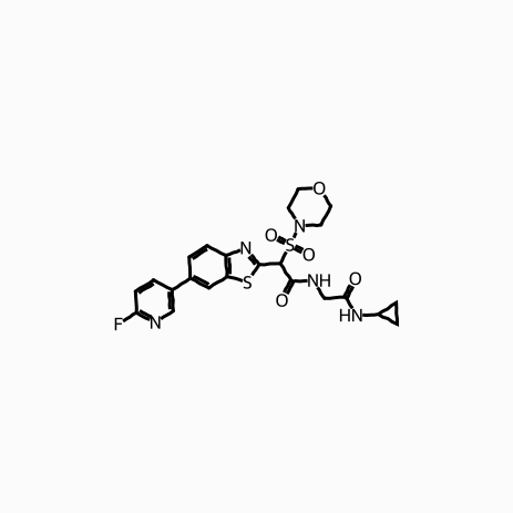 O=C(CNC(=O)C(c1nc2ccc(-c3ccc(F)nc3)cc2s1)S(=O)(=O)N1CCOCC1)NC1CC1